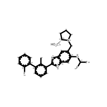 Cc1c(-c2nc3cc(CN4CCC[C@H]4C(=O)O)c(OC(F)F)cc3o2)cccc1-c1ccccc1F